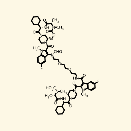 C[C@@H](C(=O)N[C@H](C(=O)N1CCN(C(=O)c2c(C(=O)NCCOCCOCCN(C=O)c3c(C(=O)N4CCN(C(=O)[C@@H](NC(=O)[C@H](C)N(C)C(=O)OC(C)(C)C)C5CCCCC5)CC4)n(C)c4ccc(F)cc34)c3cc(F)ccc3n2C)CC1)C1CCCCC1)N(C)C(=O)O